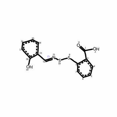 O=C(O)c1ccccc1SS/N=C/c1ccccc1O